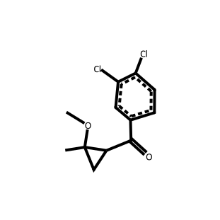 COC1(C)CC1C(=O)c1ccc(Cl)c(Cl)c1